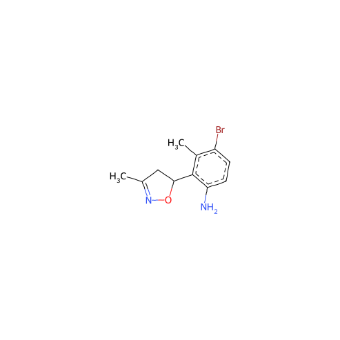 CC1=NOC(c2c(N)ccc(Br)c2C)C1